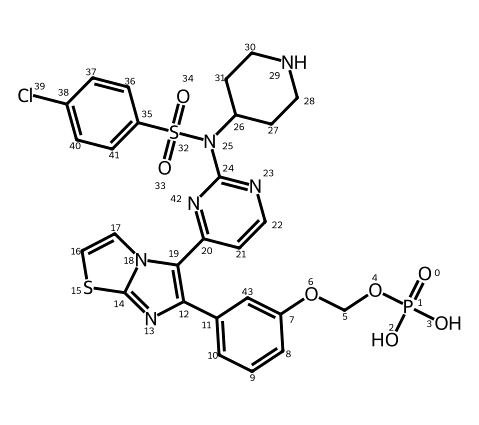 O=P(O)(O)OCOc1cccc(-c2nc3sccn3c2-c2ccnc(N(C3CCNCC3)S(=O)(=O)c3ccc(Cl)cc3)n2)c1